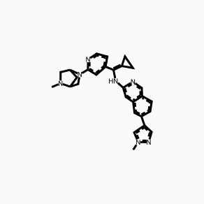 CN1CC2CC1CN2c1cc(C(Nc2cc3cc(-c4cnn(C)c4)ccc3cn2)=C2CC2)ccn1